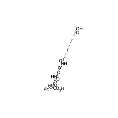 CC(=O)CC[C@H](NC(=O)COCC(=O)NCCOCCOCCNC(=O)CCCCCCCCCCCCCCCCCCC(=O)CO)C(=O)O